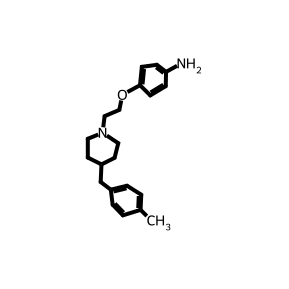 Cc1ccc(CC2CCN(CCOc3ccc(N)cc3)CC2)cc1